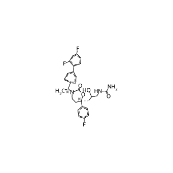 C[C@@H](c1ccc(-c2ccc(F)cc2F)cc1)N1CC[C@](CC(O)CNC(N)=O)(c2ccc(F)cc2)OC1=O